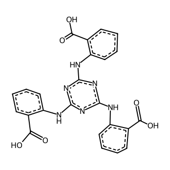 O=C(O)c1ccccc1Nc1nc(Nc2ccccc2C(=O)O)nc(Nc2ccccc2C(=O)O)n1